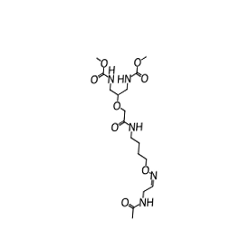 COC(=O)NCC(CNC(=O)OC)OCC(=O)NCCCCO/N=C\CNC(C)=O